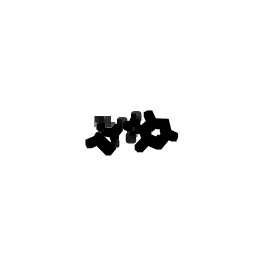 CC1=CSC(OS(=O)(=O)c2c(C)cc(C)cc2C)N1N